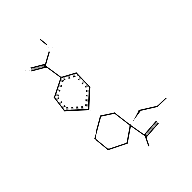 CCC[C@@]1(C(=O)O)CCC[C@H](c2ccc(C(=O)OC)cc2)C1